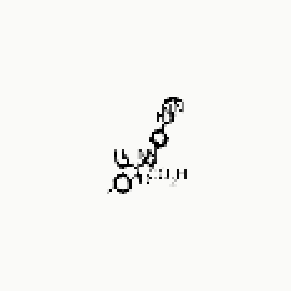 C[C@H]1CC[C@H](C(=O)N(c2nn(-c3ccc(-c4cc5ncccn5n4)cc3)cc2C(=O)O)C2CCOC2)CC1